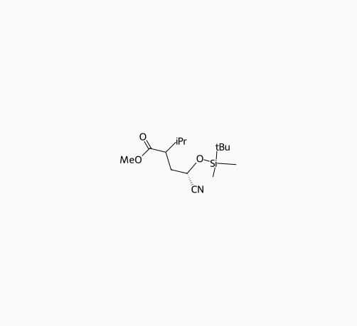 COC(=O)C(C[C@@H](C#N)O[Si](C)(C)C(C)(C)C)C(C)C